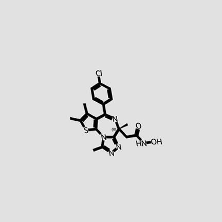 Cc1sc2c(c1C)C(c1ccc(Cl)cc1)=N[C@](C)(CC(=O)NO)c1nnc(C)n1-2